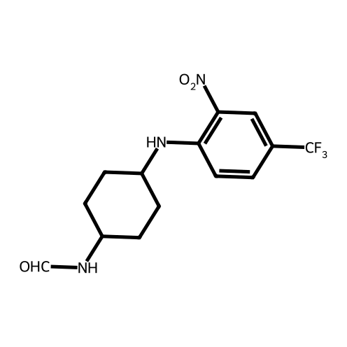 O=CNC1CCC(Nc2ccc(C(F)(F)F)cc2[N+](=O)[O-])CC1